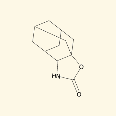 O=C1NC2C3CC4CC(C3)CC2(C4)O1